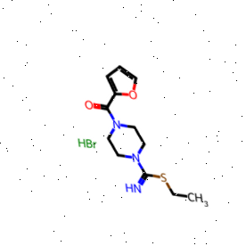 Br.CCSC(=N)N1CCN(C(=O)c2ccco2)CC1